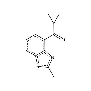 Cc1nc2c(C(=O)C3CC3)cccc2s1